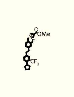 COC(=O)C1CN(Cc2ccc(CCc3ccc(C4CCCC4)c(C(F)(F)F)c3)cc2F)C1